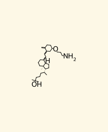 C=C1CCC(OCCCN)CC1=CC=C1CCC[C@]2(C)[C@@H](C(C)CCCC(C)(C)O)CC[C@@H]12